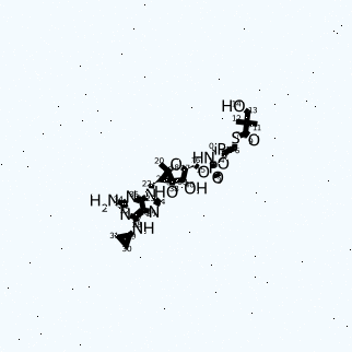 CC(C)NP(=O)(OCCSC(=O)C(C)(C)CO)OC[C@H]1OC2(C)[C@@H](Cn3cnc4c(NC5CC5)nc(N)nc43)C2(O)C1O